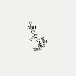 CC(C)(C)OC(=O)N1CCC[C@H]1c1nc2ccc(-c3ccc(-c4ccc(-c5cnc(C6CCCC6)[nH]5)cc4)c4c3CC3(CCCC3)C4)cc2c(=O)[nH]1